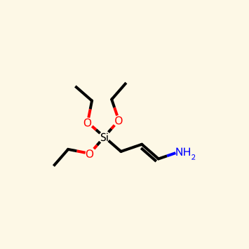 CCO[Si](C/C=C/N)(OCC)OCC